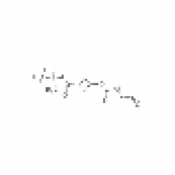 CC(C)(C)OC(=O)[C@H]1C[C@@H](OC(=S)SCC=O)C1